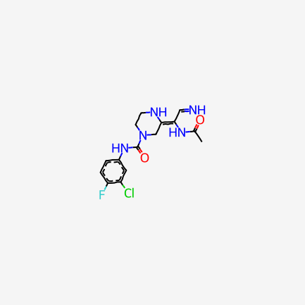 CC(=O)N/C(C=N)=C1\CN(C(=O)Nc2ccc(F)c(Cl)c2)CCN1